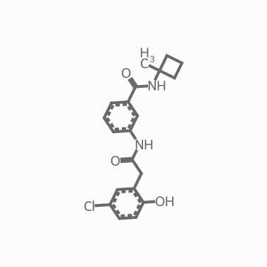 CC1(NC(=O)c2cccc(NC(=O)Cc3cc(Cl)ccc3O)c2)CCC1